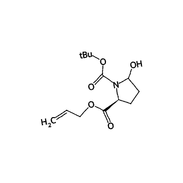 C=CCOC(=O)[C@@H]1CCC(O)N1C(=O)OC(C)(C)C